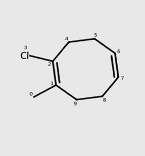 CC1=C(Cl)CCC=CCC1